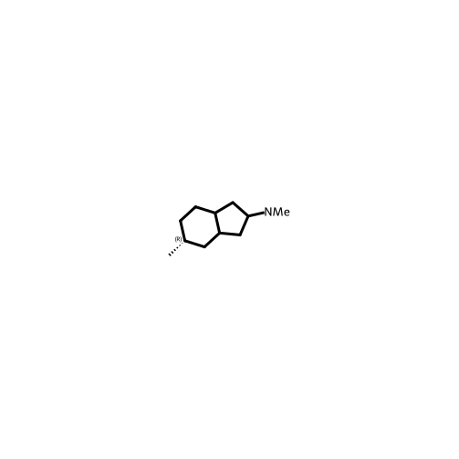 CNC1CC2CC[C@@H](C)CC2C1